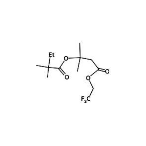 CCC(C)(C)C(=O)OC(C)(C)CC(=O)OCC(F)(F)F